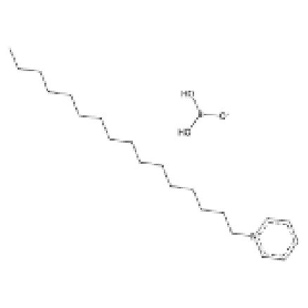 CCCCCCCCCCCCCCCC[n+]1ccccc1.[O-]B(O)O